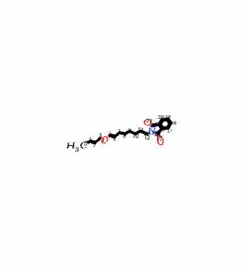 CCCCOCCCCCCCCN1C(=O)c2ccccc2C1=O